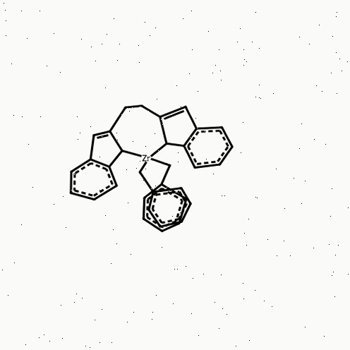 C1=C2CCC3=Cc4ccccc4[CH]3[Zr]([CH2]c3ccccc3)([CH2]c3ccccc3)[CH]2c2ccccc21